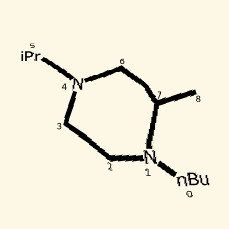 CCCCN1CCN(C(C)C)CC1C